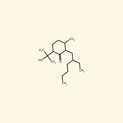 CCCCC(CC)CC1C(=O)C(C(C)(C)O)CCC1C